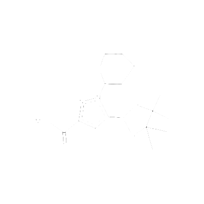 COC(=O)c1cc(B2OC(C)(C)C(C)(C)O2)n(C2CCCCO2)n1